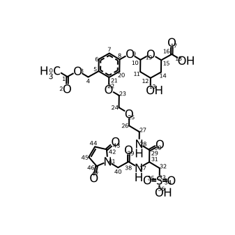 CC(=O)OCc1ccc(OC2CC(O)CC(C(=O)O)O2)cc1OCCOCCNC(=O)C(CS(=O)(=O)O)NC(=O)CN1C(=O)C=CC1=O